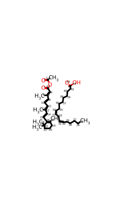 CC(=O)OC(=O)/C=C(C)/C=C/C=C(C)/C=C/C1=C(C)CCCC1(C)C.CCCCC/C=C\C/C=C\CCCCCCCC(=O)O